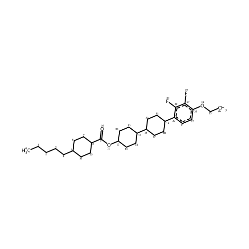 CCCCCC1CCC(C(=O)OC2CCC(C3CCC(c4ccc(OCC)c(F)c4F)CC3)CC2)CC1